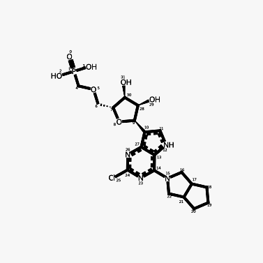 O=P(O)(O)COC[C@H]1O[C@H](c2c[nH]c3c(N4CC5CCCC5C4)nc(Cl)nc23)[C@H](O)[C@@H]1O